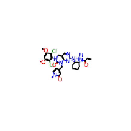 C=CC(=O)NC1CCCCC1Nc1ncc2c(n1)N(Cc1ccn(C)c(=O)c1)C(=O)N(c1c(Cl)c(OC)cc(OC)c1Cl)C2